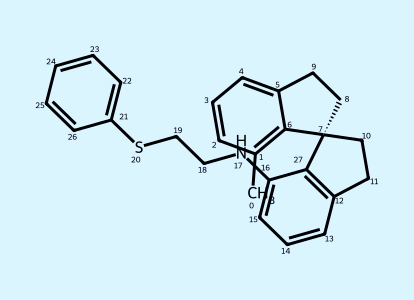 Cc1cccc2c1[C@@]1(CC2)CCc2cccc(NCCSc3ccccc3)c21